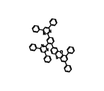 c1ccc(-c2cc3c(c(-c4ccccc4)c2)Oc2cc(-c4ccc(-c5nc(-c6ccccc6)cc(-c6ccccc6)n5)cc4-c4nc(-c5ccccc5)cc(-c5ccccc5)n4)ccc2S3)cc1